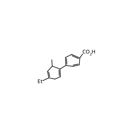 CCC1=CC(C)C(c2ccc(C(=O)O)cc2)=CC1